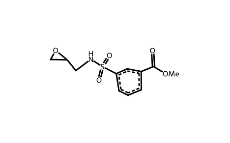 COC(=O)c1cccc(S(=O)(=O)NCC2CO2)c1